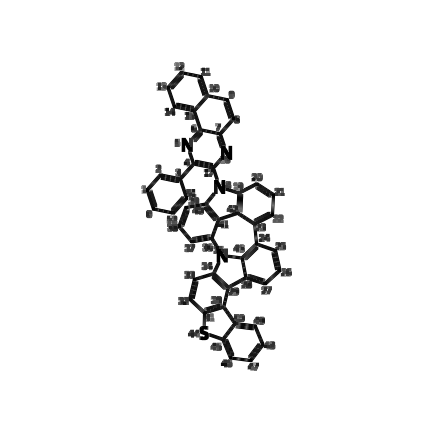 c1ccc(-c2nc3c(ccc4ccccc43)nc2-n2c3cccc4c5cccc6c7c8c(ccc7n(c7cccc2c7c43)c56)sc2ccccc28)cc1